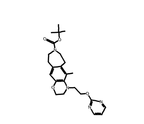 Cc1c2c(cc3c1N(CCOc1ncccn1)CCO3)CCN(C(=O)OC(C)(C)C)CC2